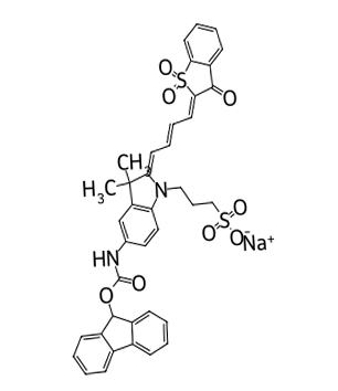 CC1(C)C(=CC=CC=C2C(=O)c3ccccc3S2(=O)=O)N(CCCS(=O)(=O)[O-])c2ccc(NC(=O)OC3c4ccccc4-c4ccccc43)cc21.[Na+]